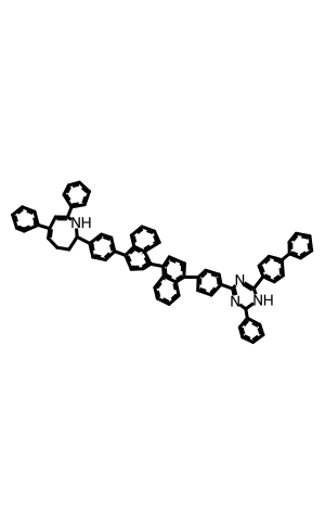 C1=C(/c2ccccc2)NC(c2ccc(-c3ccc(-c4ccc(-c5ccc(C6=NC(c7ccccc7)NC(c7ccc(-c8ccccc8)cc7)=N6)cc5)c5ccccc45)c4ccccc34)cc2)CC\C=C/1c1ccccc1